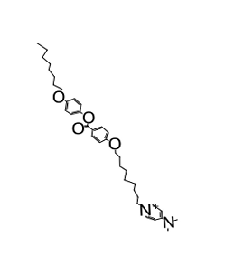 CCCCCCCCOc1ccc(OC(=O)c2ccc(OCCCCCCCCC[n+]3ccc(N(C)C)cc3)cc2)cc1